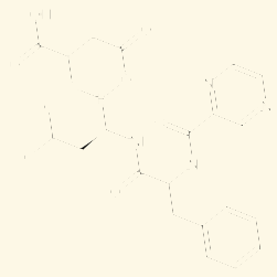 CC(C)C[C@H](NC(=O)C(Cc1ccccc1)NC(=O)c1cnccn1)B1OC(=O)CC(C(=O)O)O1